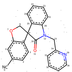 N#Cc1ccc2c(c1)OCC21C(=O)N(Cc2ccccn2)c2ccccc21